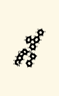 c1ccc(-c2cccc(N(c3ccc(-c4ccc(-c5ccccc5)cc4-c4ccccc4)cc3)c3ccc4oc5cc6ccncc6cc5c4c3)c2)cc1